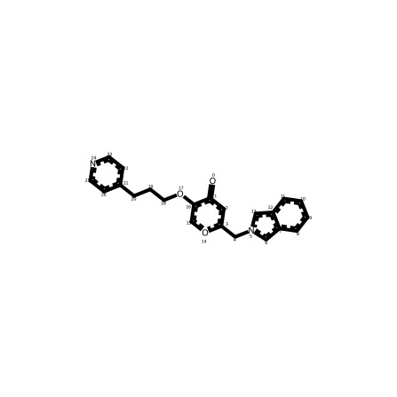 O=c1cc(Cn2cc3ccccc3c2)occ1OCCCc1ccncc1